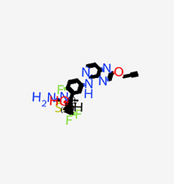 C#CCOc1cnc2c(Nc3ccc(F)c([C@@]4(C)N=C(N)S[C@]5([C@@H](C)O)[C@H]4C5(F)F)c3)nccc2n1